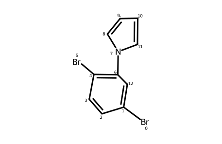 Brc1ccc(Br)c(-n2c[c]cc2)c1